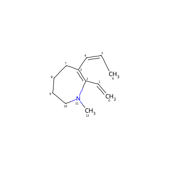 C=CC1=C(/C=C\C)CCCCN1C